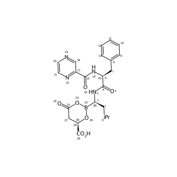 CC(C)C[C@H](NC(=O)[C@H](Cc1ccccc1)NC(=O)c1cnccn1)B1OC(=O)C[C@H](C(=O)O)O1